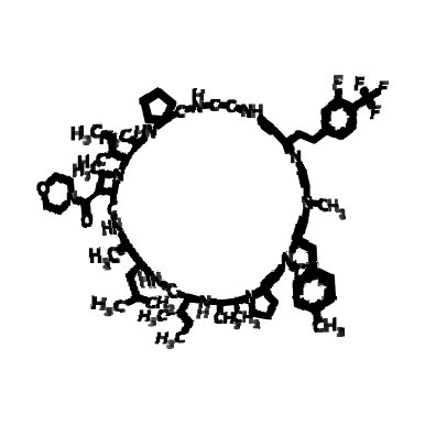 CC[C@H](C)[C@H]1C(C)NC2(CCCC2)CNCCNC=CC(CCc2ccc(C(F)(F)F)c(F)c2)=NC=CN(C)C=C(Cc2ccc(C)cc2)N(C)C=C2CCCN2[C@@H](C)C(C)N[C@@H]([C@@H](C)CC)CN[C@@H](CC(C)C)C(C)NCC2[C@@H](C(=O)N3CCOCC3)C(C)N21